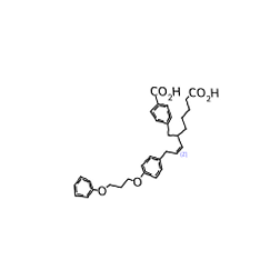 O=C(O)CCCCC(/C=C\Cc1ccc(OCCCOc2ccccc2)cc1)Cc1ccc(C(=O)O)cc1